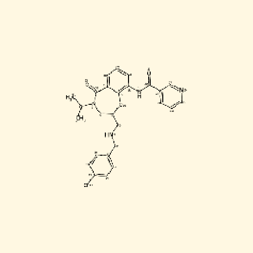 CC(C)N1CC(CNCc2ccc(Cl)cc2)Oc2c(NC(=O)c3cccnc3)cccc2C1=O